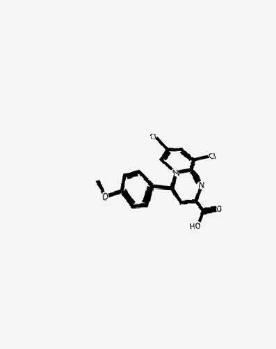 COc1ccc(C2CC(C(=O)O)N=C3C(Cl)=CC(Cl)=CN32)cc1